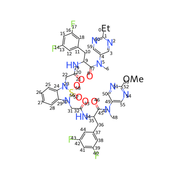 CCc1ncc(N(C)C(=O)C(Cc2cc(F)cc(F)c2)NC(=O)CN2c3ccccc3N(CC(=O)NC(Cc3cc(F)cc(F)c3)C(=O)N(C)c3cnc(OC)nc3)S2(=O)=O)cn1